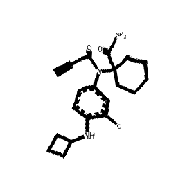 C#CC(=O)N(c1ccc(NC2CCC2)c(Cl)c1)C1(C(N)=O)CCCCC1